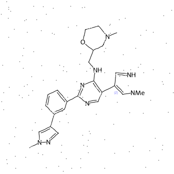 CN/C=C(\C=N)c1cnc(-c2cccc(-c3cnn(C)c3)c2)nc1NCC1CN(C)CCO1